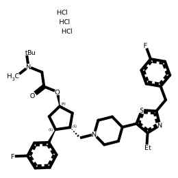 CCc1nc(Cc2ccc(F)cc2)sc1C1CCN(C[C@H]2C[C@H](OC(=O)CN(C)C(C)(C)C)C[C@@H]2c2cccc(F)c2)CC1.Cl.Cl.Cl